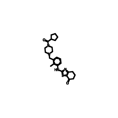 Cc1c(CN2CCN(C(=O)C3CCCC3)CC2)cccc1Nc1nc2c(s1)C(=O)CCC2